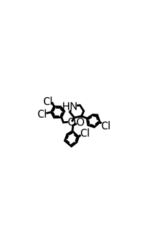 Clc1ccc([C@@]2(OCc3ccccc3Cl)CCNCC2OCc2ccc(Cl)c(Cl)c2)cc1